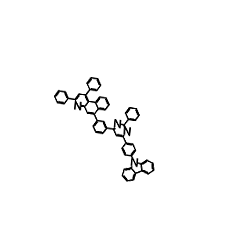 c1ccc(-c2cc(-c3ccccc3)c3c(cc(-c4cccc(-c5cc(-c6ccc(-n7c8ccccc8c8ccccc87)cc6)nc(-c6ccccc6)n5)c4)c4ccccc43)n2)cc1